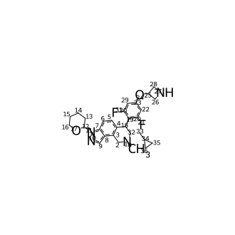 CN1Cc2c(ccc3c2cnn3C2CCCCO2)[C@@H](c2c(F)cc(OC3CNC3)cc2F)[C@@H]1CC1CC1